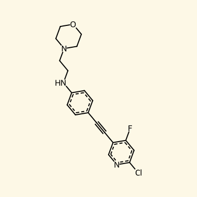 Fc1cc(Cl)ncc1C#Cc1ccc(NCCN2CCOCC2)cc1